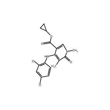 Cc1c(Nc2ccc(Cl)cc2Cl)c(C(=O)OC2CC2)cn(C)c1=O